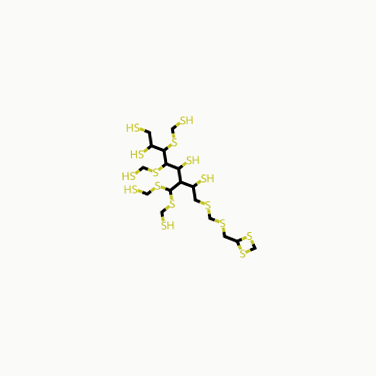 SCSC(SCS)C(C(S)CSCSCC1SCS1)C(S)C(SCS)C(SCS)C(S)CS